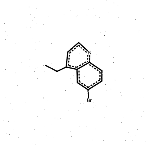 [CH2]Cc1ccnc2ccc(Br)cc12